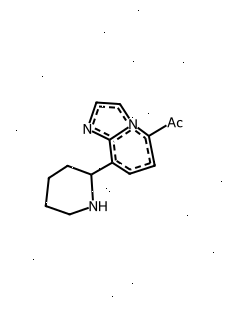 CC(=O)c1ccc(C2CCCCN2)c2nccn12